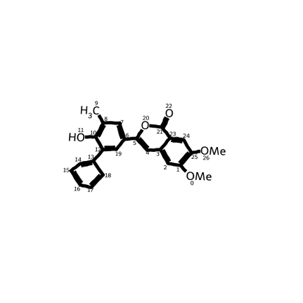 COc1cc2cc(-c3cc(C)c(O)c(-c4ccccc4)c3)oc(=O)c2cc1OC